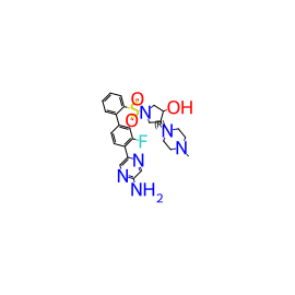 CN1CCN([C@@H]2CN(S(=O)(=O)c3ccccc3-c3ccc(-c4cnc(N)cn4)c(F)c3)CC2O)CC1